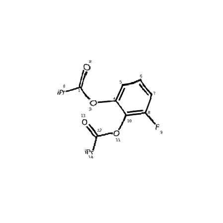 CC(C)C(=O)Oc1cccc(F)c1OC(=O)C(C)C